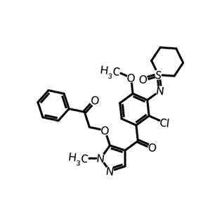 COc1ccc(C(=O)c2cnn(C)c2OCC(=O)c2ccccc2)c(Cl)c1N=S1(=O)CCCCC1